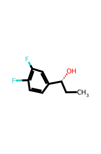 CC[C@@H](O)c1ccc(F)c(F)c1